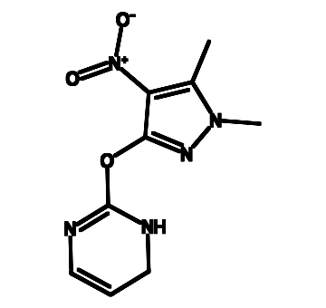 Cc1c([N+](=O)[O-])c(OC2=NC=CCN2)nn1C